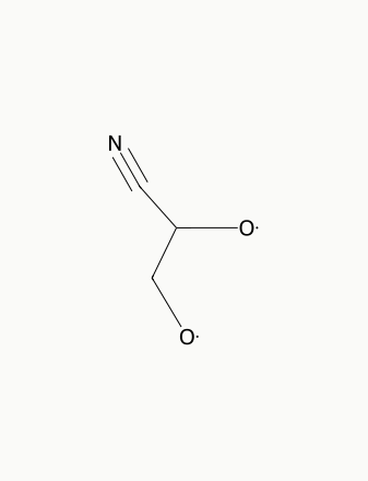 N#CC([O])C[O]